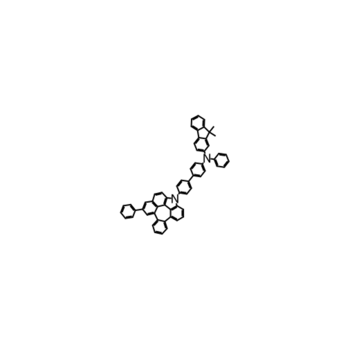 CC1(C)c2ccccc2-c2ccc(N(c3ccccc3)c3ccc(-c4ccc(-n5c6cccc7c6c6c8c(cc(-c9ccccc9)cc8ccc65)-c5ccccc5-7)cc4)cc3)cc21